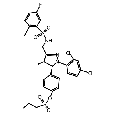 CCCS(=O)(=O)Oc1ccc([C@H]2[C@@H](C)C(CNS(=O)(=O)c3cc(F)ccc3C)=NN2c2ccc(Cl)cc2Cl)cc1